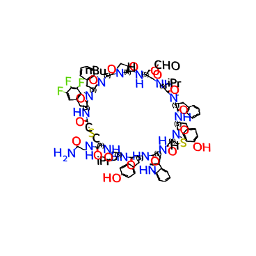 CCCC[C@H]1C(=O)N2CCC[C@@H]2C(=O)N[C@@H](COC=O)C(=O)N[C@@H](C(C)C)C(=O)N(C)[C@@H](Cc2ccccc2)C(=O)N[C@@H](Cc2ccc(O)cc2)C(=O)N2CSC[C@@H]2C(=O)N[C@@H](Cc2c[nH]c3ccccc23)C(=O)N[C@@H](Cc2ccc(O)cc2)C(=O)N[C@@H](CC(C)C)C(=O)N[C@H](C(=O)NCC(N)=O)CSCC(=O)N[C@@H](Cc2cc(F)c(F)c(F)c2)C(=O)N(C)[C@@H](Cc2ccccc2)C(=O)N1C